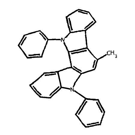 Cc1cc2c(c3ccccc3n2-c2ccccc2)c2c1c1ccccc1n2-c1ccccc1